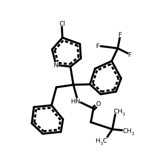 CC(C)(C)CC(=O)NC(Cc1ccccc1)(c1cccc(C(F)(F)F)c1)c1ccc(Cl)cn1